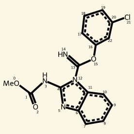 COC(=O)Nc1nc2ccccc2n1C(=N)Oc1cccc(Cl)c1